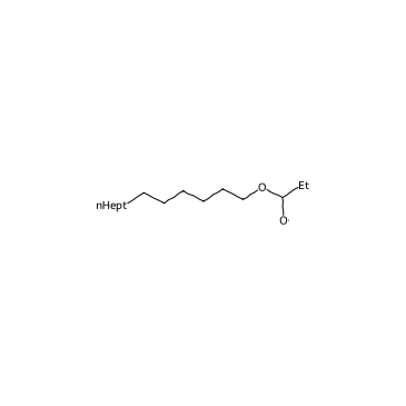 CCCCCCCCCCCCCOC([O])CC